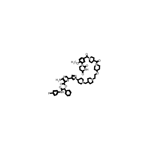 COc1ccc(C(=O)N2CCC(C(=O)N3CCC(OCCN4CCC(CN5CCC(n6cc(-c7cnc(N)c(C(=O)O[C@@H](C(=O)Nc8ccc(F)cc8)c8ccccc8)n7)cn6)CC5)CC4)CC3)CC2)cc1N1CCC(=O)NC1=O